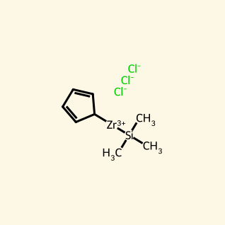 C[Si](C)(C)[Zr+3][CH]1C=CC=C1.[Cl-].[Cl-].[Cl-]